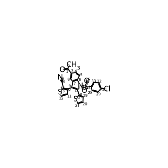 CC(=O)c1ccc2c(c1)c(-c1ccsc1C#N)c(-c1cccs1)n2S(=O)(=O)c1ccc(Cl)cc1